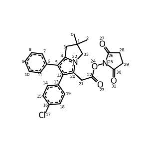 CC1(C)Cc2c(-c3ccccc3)c(-c3ccc(Cl)cc3)c(CC(=O)ON3C(=O)CCC3=O)n2C1